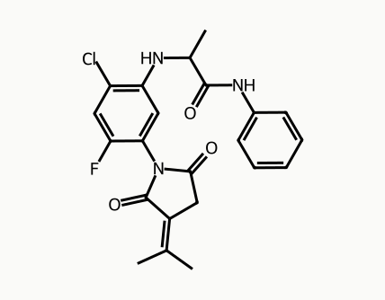 CC(C)=C1CC(=O)N(c2cc(NC(C)C(=O)Nc3ccccc3)c(Cl)cc2F)C1=O